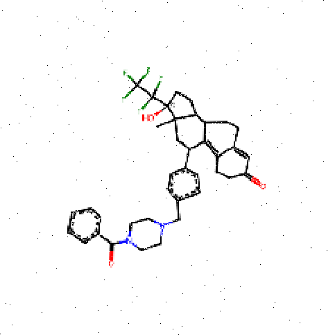 CC12CC(c3ccc(CN4CCN(C(=O)c5ccccc5)CC4)cc3)C3=C4CCC(=O)C=C4CCC3C1CC[C@@]2(O)C(F)(F)C(F)(F)F